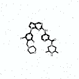 CC1CN(C(=O)c2cc(Nc3ncc4ccn(-c5cc(F)c(CN6CCOCC6)c(F)c5)c4n3)ccn2)CC(C)N1